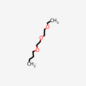 [CH2]CCCOCCOCCOCC